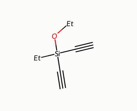 C#C[Si](C#C)(CC)OCC